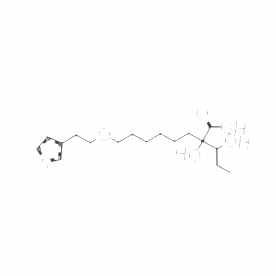 CCC(O)C(O)(CCCCCCOCCc1ccsc1)C(=O)O